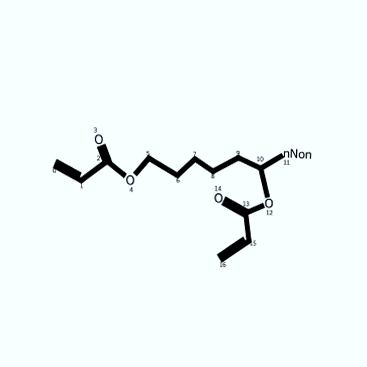 C=CC(=O)OCCCCCC(CCCCCCCCC)OC(=O)C=C